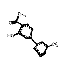 CC(=O)c1ccc(-c2cccc(C)c2)cc1O